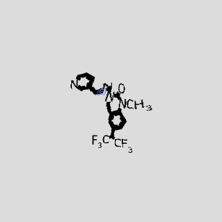 CN1C(=O)N(/N=C/c2cccnc2)Cc2cc(C(C(F)(F)F)C(F)(F)F)ccc21